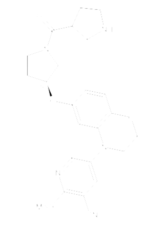 COc1ncc(N2CCOc3ccc(O[C@H]4CCN(C(=O)C5CCNC5)C4)cc32)cc1C#N